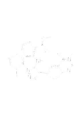 COC(=O)c1ccccc1Nc1c(-c2ccc3ncn(C)c(=O)c3c2)c(C)nn1-c1ccccc1C